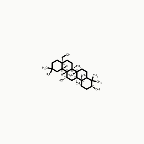 CC1(C)CC[C@]2(CO)CC[C@]3(C)[C@H]([C@@H](O)C[C@@]4(C)[C@@]3(C)CCC3C(C)(C)[C@@H](O)CC[C@@]34C)[C@@H]2C1